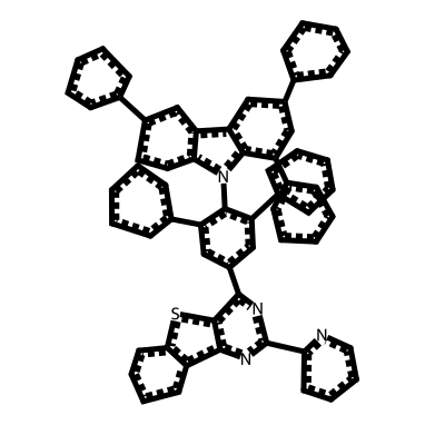 c1ccc(-c2ccc3c(c2)c2cc(-c4ccccc4)cc(-c4ccccc4)c2n3-c2c(-c3ccccc3)cc(-c3nc(-c4ccccn4)nc4c3sc3ccccc34)cc2-c2ccccc2)cc1